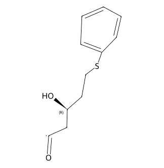 O=[C]C[C@@H](O)CCSc1ccccc1